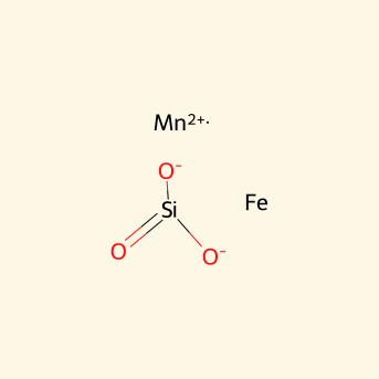 O=[Si]([O-])[O-].[Fe].[Mn+2]